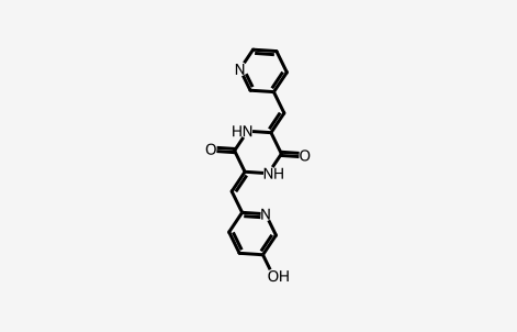 O=c1[nH]/c(=C\c2ccc(O)cn2)c(=O)[nH]/c1=C\c1cccnc1